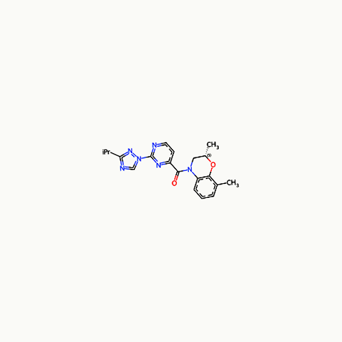 Cc1cccc2c1O[C@@H](C)CN2C(=O)c1ccnc(-n2cnc(C(C)C)n2)n1